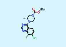 C[C@@H]1CN(C(=O)OC(C)(C)C)CCN1c1ncnc2c(F)c(Br)ccc12